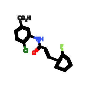 O=C(C=Cc1ccccc1F)Nc1cc(C(=O)O)ccc1Cl